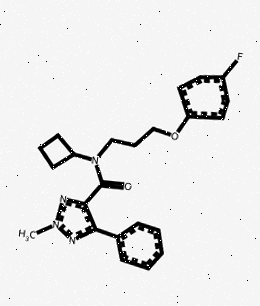 Cn1nc(C(=O)N(CCCOc2ccc(F)cc2)C2CCC2)c(-c2ccccc2)n1